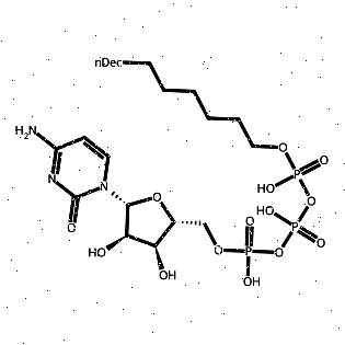 CCCCCCCCCCCCCCCCOP(=O)(O)OP(=O)(O)OP(=O)(O)OC[C@H]1O[C@@H](n2ccc(N)nc2=O)[C@H](O)[C@@H]1O